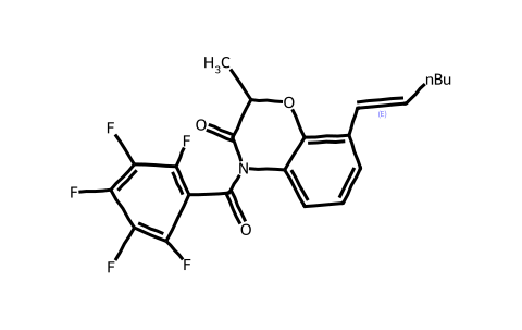 CCCC/C=C/c1cccc2c1OC(C)C(=O)N2C(=O)c1c(F)c(F)c(F)c(F)c1F